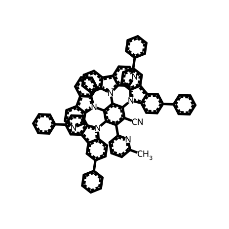 Cc1cccc(-c2c(C#N)c(-n3c4ccc(-c5ccccc5)cc4c4cc(-c5ccccc5)ccc43)c(-n3c4ccccc4c4ccncc43)c(-n3c4ccccc4c4ccncc43)c2-n2c3ccc(-c4ccccc4)cc3c3cc(-c4ccccc4)ccc32)n1